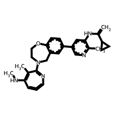 C=C(Nc1cc(-c2ccc3c(c2)CN(C2=NC=C=CC(NC)=C2C)CCO3)cnc1C)C1CC1